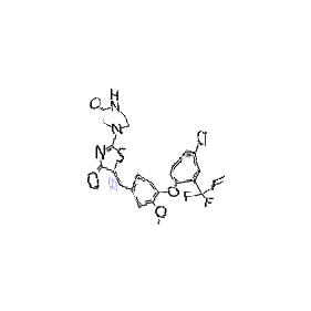 COc1cc(/C=C2\SC(N3CCNC(=O)C3)=NC2=O)ccc1Oc1ccc(Cl)cc1C(F)(F)F